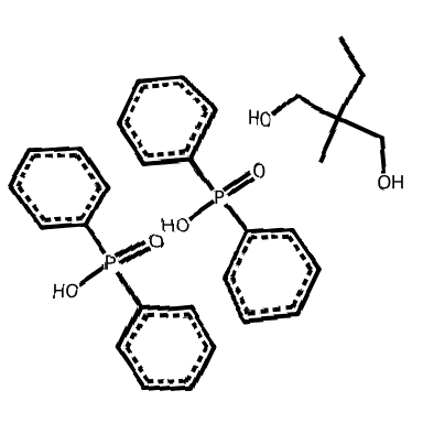 CCC(C)(CO)CO.O=P(O)(c1ccccc1)c1ccccc1.O=P(O)(c1ccccc1)c1ccccc1